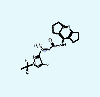 CC(F)(F)n1cc(F)c(/S(N)=N/C(=O)Nc2c3c(nc4c2CCC4)CCC3)n1